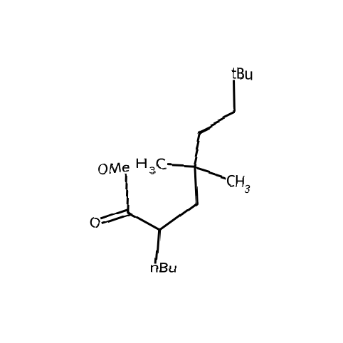 CCCCC(CC(C)(C)CCC(C)(C)C)C(=O)OC